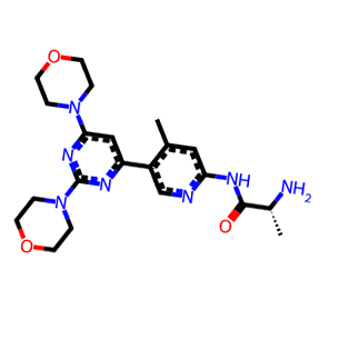 Cc1cc(NC(=O)[C@@H](C)N)ncc1-c1cc(N2CCOCC2)nc(N2CCOCC2)n1